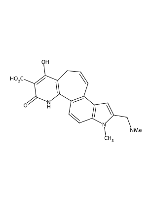 CNCc1cc2c3c(ccc2n1C)-c1[nH]c(=O)c(C(=O)O)c(O)c1CC=C3